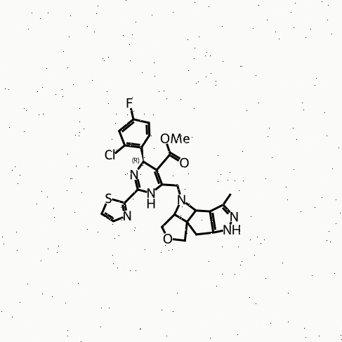 COC(=O)C1=C(CN2C3COCC34Cc3[nH]nc(C)c3C24)NC(c2nccs2)=N[C@H]1c1ccc(F)cc1Cl